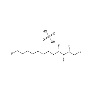 O=S(=O)(O)O.[Li][CH2]C(F)C(F)C(F)CCCCCCCCF